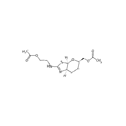 CC(=O)OCCNC1=N[C@@H]2[C][C][C@H](COC(C)=O)O[C@@H]2S1